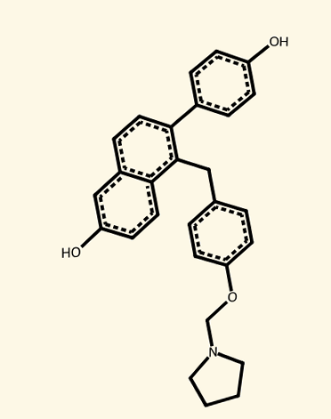 Oc1ccc(-c2ccc3cc(O)ccc3c2Cc2ccc(OCN3CCCC3)cc2)cc1